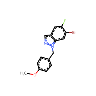 COc1ccc(Cn2ncc3cc(F)c(Br)cc32)cc1